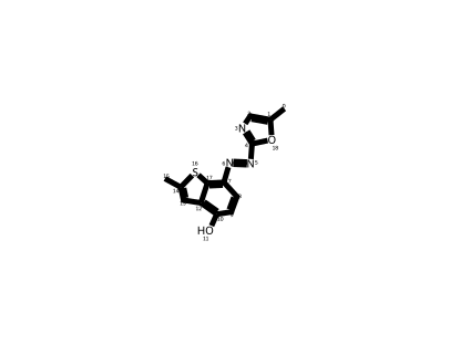 Cc1cnc(/N=N/c2ccc(O)c3cc(C)sc23)o1